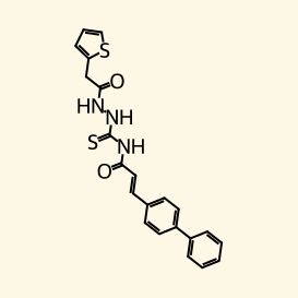 O=C(/C=C/c1ccc(-c2ccccc2)cc1)NC(=S)NNC(=O)Cc1cccs1